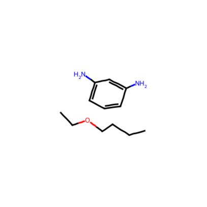 CCCCOCC.Nc1cccc(N)c1